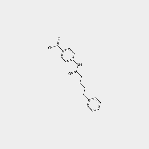 O=C(CCCCc1ccccc1)Nc1ccc(C(=O)Cl)cc1